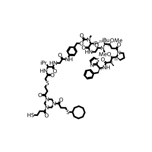 CC[C@H](C)[C@@H]([C@@H](CC(=O)N1CCC[C@H]1[C@H](OC)[C@@H](C)C(=O)N[C@@H](Cc1ccccc1)c1nccs1)OC)N(C)C(=O)CNC(=O)C(C(C)C)N(C)C(=O)OCc1ccc(NC(=O)CNC(=O)C(NC(=O)CSCCC(=O)N2CN(C(=O)CCS)CN(C(=O)CCSC3CCCCCCC3)C2)C(C)C)cc1